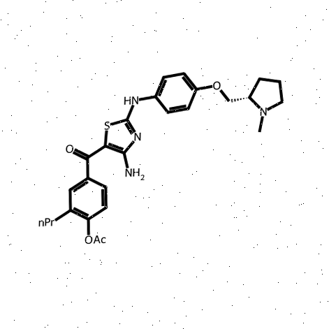 CCCc1cc(C(=O)c2sc(Nc3ccc(OC[C@@H]4CCCN4C)cc3)nc2N)ccc1OC(C)=O